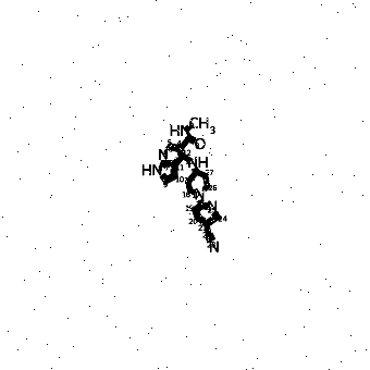 CNC(=O)c1cnc2[nH]ccc2c1NC1CCN(c2ccc(C#N)cn2)CC1